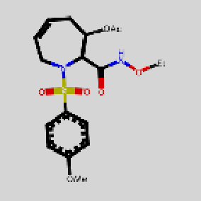 CCONC(=O)C1C(OC(C)=O)CC=CCN1S(=O)(=O)c1ccc(OC)cc1